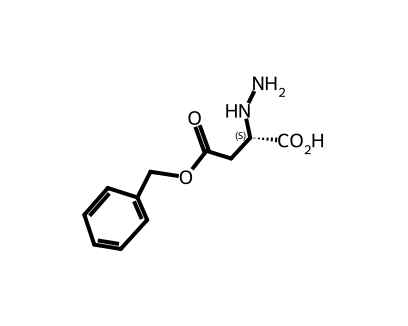 NN[C@@H](CC(=O)OCc1ccccc1)C(=O)O